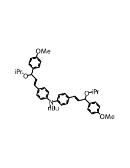 CCCCN(c1ccc(C=CC(OC(C)C)c2ccc(OC)cc2)cc1)c1ccc(C=CC(OC(C)C)c2ccc(OC)cc2)cc1